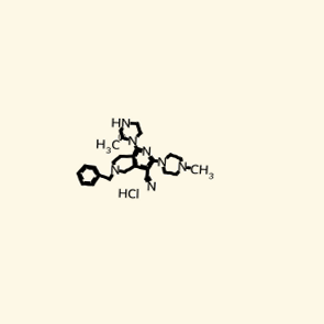 C[C@@H]1CNCCN1c1nc(N2CCN(C)CC2)c(C#N)c2c1CCN(Cc1ccccc1)C2.Cl